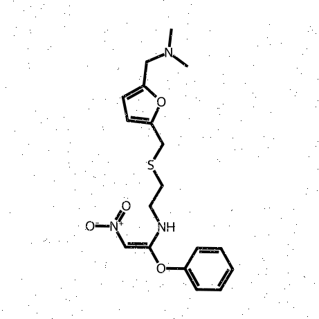 CN(C)Cc1ccc(CSCCNC(=C[N+](=O)[O-])Oc2ccccc2)o1